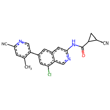 Cc1cc(C#N)ncc1-c1cc(Cl)c2cnc(NC(=O)C3CC3C#N)cc2c1